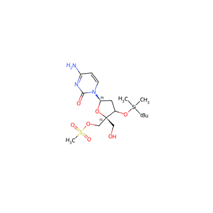 CC(C)(C)[Si](C)(C)OC1C[C@H](n2ccc(N)nc2=O)O[C@@]1(CO)COS(C)(=O)=O